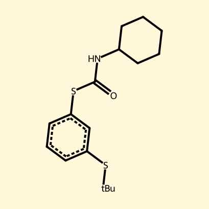 CC(C)(C)Sc1cccc(SC(=O)NC2CCCCC2)c1